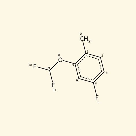 Cc1ccc(F)cc1OC(F)F